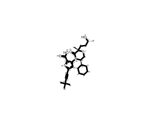 C[C@@H](O)CC[C@]1(C)OC[C@@H](C2CCCCC2)N(c2cc(C#CC(C)(C)C)sc2C(=O)O)C1=O